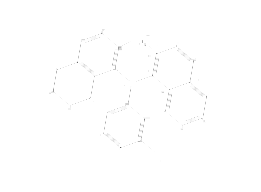 Bc1cccc(B(c2c(C)ccc3c2CCCC3)c2c(C)ccc3ccccc23)c1